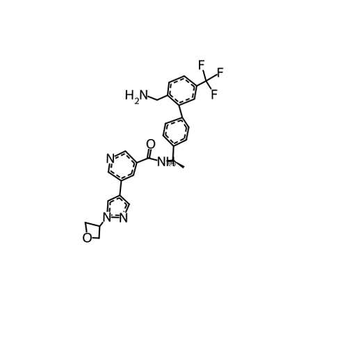 C[C@@H](NC(=O)c1cncc(-c2cnn(C3COC3)c2)c1)c1ccc(-c2cc(C(F)(F)F)ccc2CN)cc1